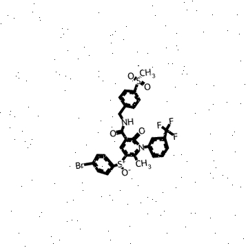 Cc1c([S+]([O-])c2ccc(Br)cc2)cc(C(=O)NCc2ccc(S(C)(=O)=O)cc2)c(=O)n1-c1cccc(C(F)(F)F)c1